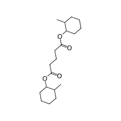 CC1CCCCC1OC(=O)CCCC(=O)OC1CCCCC1C